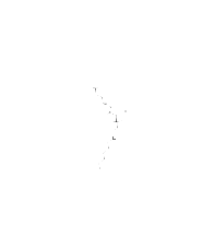 CCCCCCC(=O)OCC(C)(C)C(O)C(=O)NCCCC(=O)O